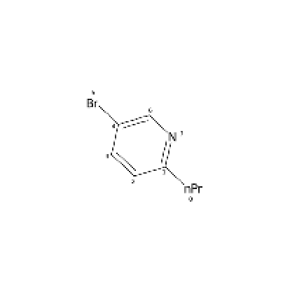 [CH2]CCc1ccc(Br)cn1